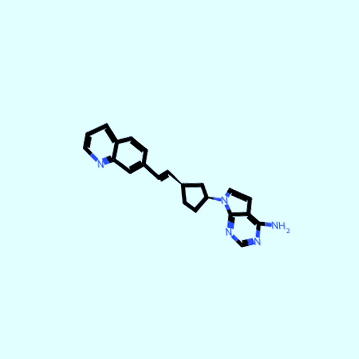 Nc1ncnc2c1ccn2[C@H]1CC[C@@H](/C=C/c2ccc3cccnc3c2)C1